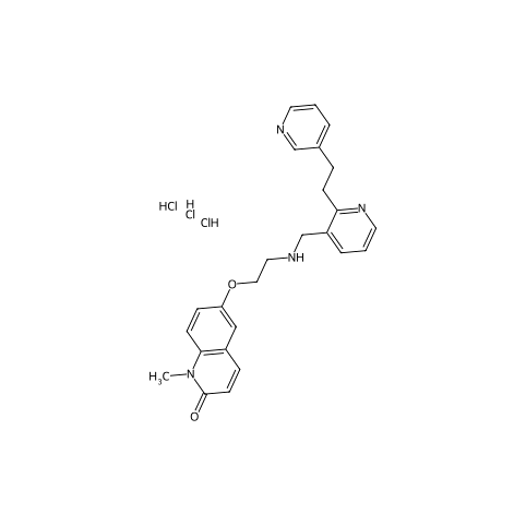 Cl.Cl.Cl.Cn1c(=O)ccc2cc(OCCNCc3cccnc3CCc3cccnc3)ccc21